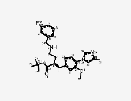 COc1cc(/C=C(\CCNCc2cccc(F)c2)C(=O)OC(C)(C)C)ccc1-n1cnc(C)c1